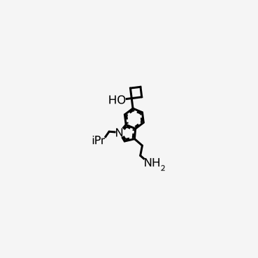 CC(C)Cn1cc(CCN)c2ccc(C3(O)CCC3)cc21